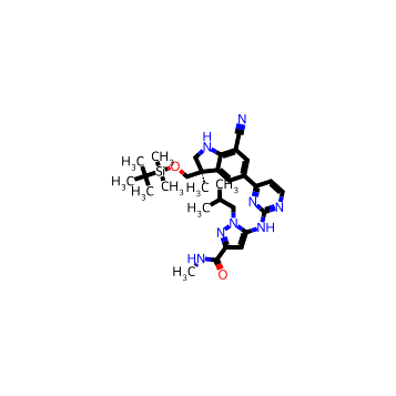 CNC(=O)c1cc(Nc2nccc(-c3cc(C#N)c4c(c3)[C@@](C)(CO[Si](C)(C)C(C)(C)C)CN4)n2)n(CC(C)C)n1